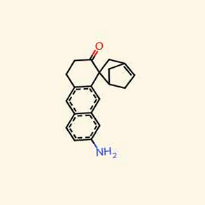 Nc1ccc2cc3c(cc2c1)C1(CC2=CCC1C2)C(=O)CC3